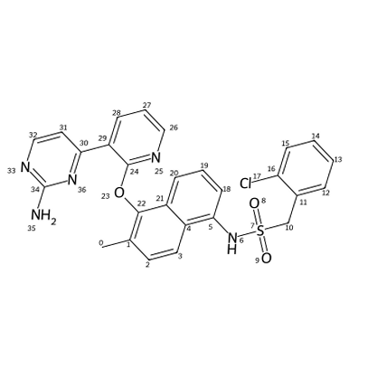 Cc1ccc2c(NS(=O)(=O)Cc3ccccc3Cl)cccc2c1Oc1ncccc1-c1ccnc(N)n1